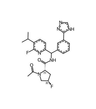 CC(=O)N1C[C@H](F)C[C@H]1C(=O)NC(c1cccc(-c2nnc[nH]2)c1)c1ccc(C(C)C)c(F)n1